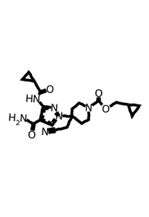 N#CCC1(n2cc(C(N)=O)c(NC(=O)C3CC3)n2)CCN(C(=O)OCC2CC2)CC1